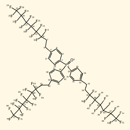 O=P(c1ccc(CCC(F)(F)C(F)(F)C(F)(F)C(F)(F)C(F)(F)C(F)(F)F)cc1)(c1ccc(CCC(F)(F)C(F)(F)C(F)(F)C(F)(F)C(F)(F)C(F)(F)F)cc1)c1ccc(CCC(F)(F)C(F)(F)C(F)(F)C(F)(F)C(F)(F)C(F)(F)F)cc1